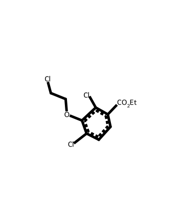 CCOC(=O)c1ccc(Cl)c(OCCCl)c1Cl